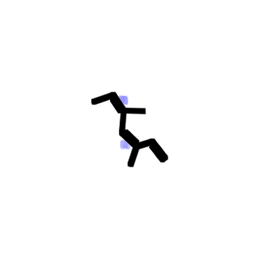 C=C/C(C)=C\C(C)=C/C